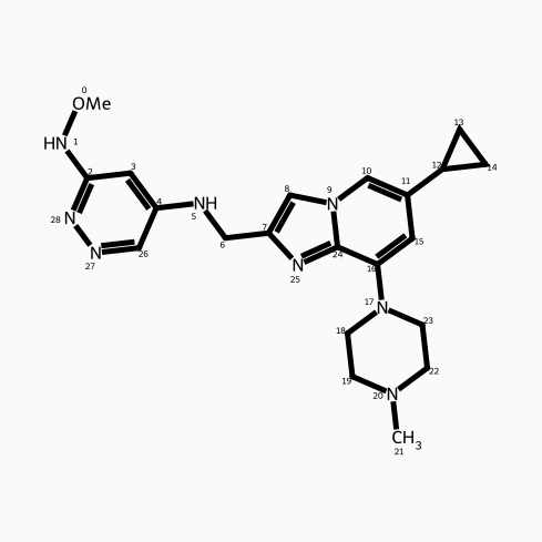 CONc1cc(NCc2cn3cc(C4CC4)cc(N4CCN(C)CC4)c3n2)cnn1